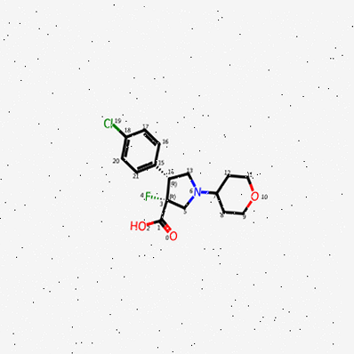 O=C(O)[C@]1(F)CN(C2CCOCC2)C[C@H]1c1ccc(Cl)cc1